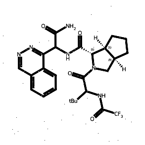 CC(C)(C)C(NC(=O)C(F)(F)F)C(=O)N1C[C@@H]2CCC[C@@H]2[C@H]1C(=O)NC(C(N)=O)c1nncc2ccccc12